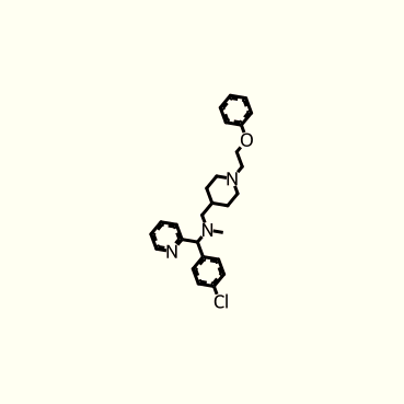 CN(CC1CCN(CCOc2ccccc2)CC1)C(c1ccc(Cl)cc1)c1ccccn1